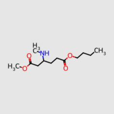 CCCCOC(=O)CCC(CC(=O)OC)NC